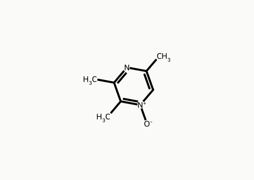 Cc1c[n+]([O-])c(C)c(C)n1